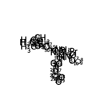 CC(C)[C@H](NC(=O)OC1CCCC1)C(=O)N1C[C@H](OC(=O)N2Cc3ccc4c(c3C2)OCO4)C[C@H]1c1nc(-c2ccc(B3OC(C)(C)C(C)(C)O3)cc2)c[nH]1